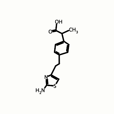 CC(C(=O)O)c1ccc(CCc2csc(N)n2)cc1